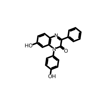 O=c1c(-c2ccccc2)nc2ccc(O)cc2n1-c1ccc(O)cc1